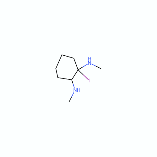 CNC1CCCCC1(I)NC